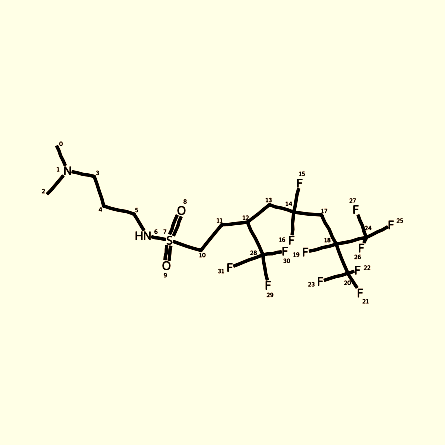 CN(C)CCCNS(=O)(=O)CCC(CC(F)(F)CC(F)(C(F)(F)F)C(F)(F)F)C(F)(F)F